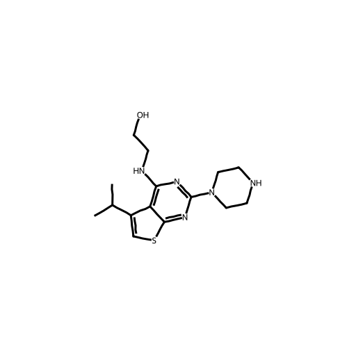 CC(C)c1csc2nc(N3CCNCC3)nc(NCCO)c12